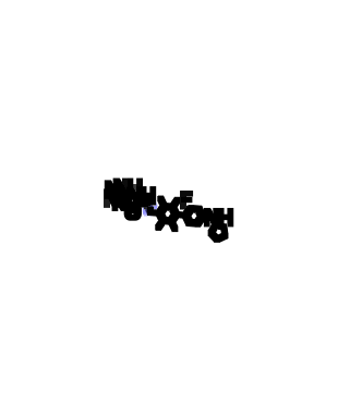 C/C(=C\c1c(C)c(C)c(-c2ccc(NC3CCCC3)cc2F)c(C)c1C)C(=O)Nc1nnn[nH]1